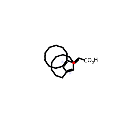 O=C(O)C=C/C1=C(\C2=C/CCCCCCCC2)CCCCCCCC1